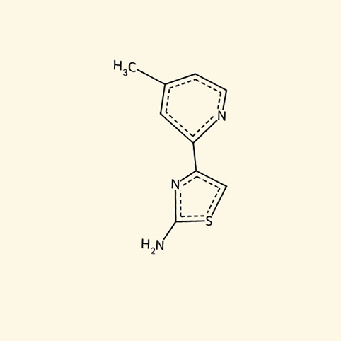 Cc1ccnc(-c2csc(N)n2)c1